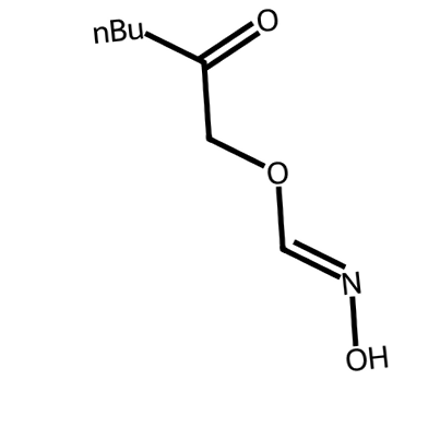 CCCCC(=O)COC=NO